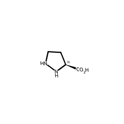 O=C(O)[C@@H]1CCNN1